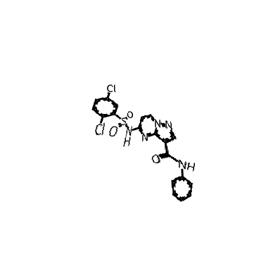 O=C(Nc1ccccc1)c1cnn2ccc(NS(=O)(=O)c3cc(Cl)ccc3Cl)nc12